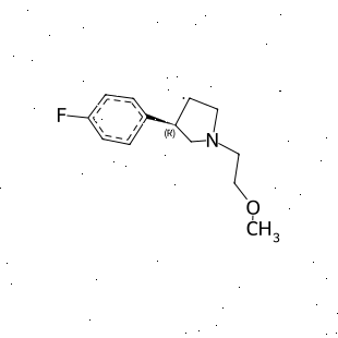 COCCN1C[CH][C@H](c2ccc(F)cc2)C1